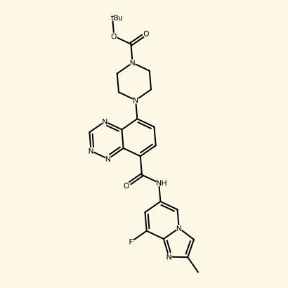 Cc1cn2cc(NC(=O)c3ccc(N4CCN(C(=O)OC(C)(C)C)CC4)c4ncnnc34)cc(F)c2n1